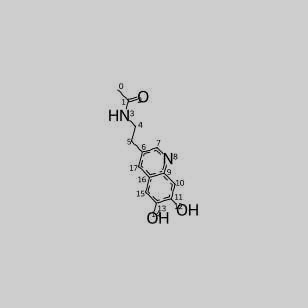 CC(=O)NCCc1cnc2cc(O)c(O)cc2c1